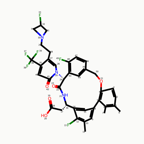 Cc1ccc2c(c1C)-c1cc(C)c(F)c(c1)[C@H](CC(=O)O)NC(=O)[C@H](n1cc(CCN3CC(F)C3)c(C(F)(F)F)cc1=O)c1cc(ccc1F)CO2